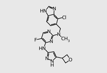 CN(Cc1ccc2[nH]cnc2c1Cl)c1ncc(F)c(Nc2cc(C3COC3)[nH]n2)n1